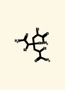 CCC(CC(O)(CC(CC)C(N)=O)C(CC)C(N)=O)C(N)=O